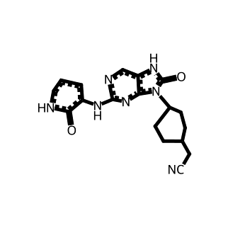 N#CCC1CCC(n2c(=O)[nH]c3cnc(Nc4ccc[nH]c4=O)nc32)CC1